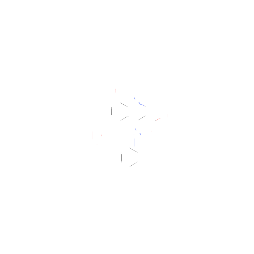 CCOC(=O)c1cnc2c(OC)cccc2c1NC(C)c1ccccc1.O